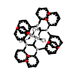 O=[CH][Ru]([Cl])([CH]=O)[Pd]([Cl])([CH](P(c1ccccc1)c1ccccc1)P(c1ccccc1)c1ccccc1)[CH](P(c1ccccc1)c1ccccc1)P(c1ccccc1)c1ccccc1